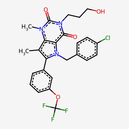 Cc1c(-c2cccc(OC(F)(F)F)c2)n(Cc2ccc(Cl)cc2)c2c(=O)n(CCCO)c(=O)n(C)c12